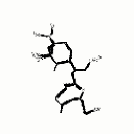 CCOC(=O)CC(c1ccc(C)c(CO)n1)c1ccc(N(N)CC)c(N)c1C